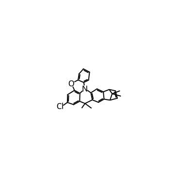 CC1(C)c2cc3c(cc2N2c4ccccc4Oc4cc(Cl)cc1c42)C1C=CC3C1(C)C